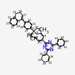 C#C/C=C(\C=C/CC(CC)(CC)c1ccc(C2=CCCc3ccccc32)cc1)c1nc(C2=CCCC=C2)nc(-c2ccccc2)n1